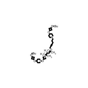 CC(C)(C)OC1CC(OC2CCN(CCCC#CCOC(C)(C)CCC(C)(C)N3CC(ON4CCC(OC5CC(OC(C)(C)C)C5)CC4)C3)CC2)C1